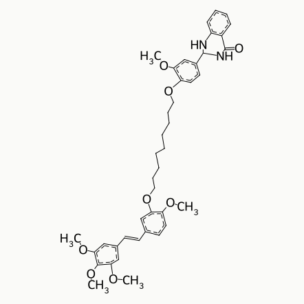 COc1cc(C2NC(=O)c3ccccc3N2)ccc1OCCCCCCCCCOc1cc(C=Cc2cc(OC)c(OC)c(OC)c2)ccc1OC